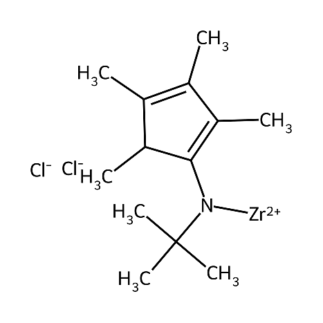 CC1=C(C)C(C)C([N]([Zr+2])C(C)(C)C)=C1C.[Cl-].[Cl-]